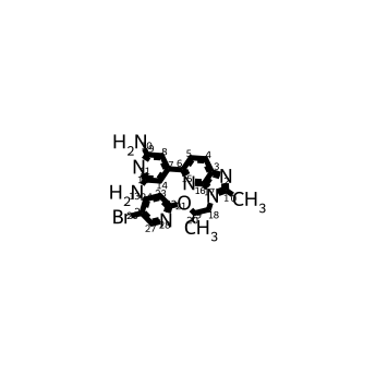 Cc1nc2ccc(-c3cc(N)nc(N)c3)nc2n1C[C@H](C)Oc1ccc(Br)cn1